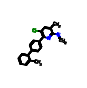 C=Nc1nc(-c2ccc(-c3ccccc3C)cc2)c(Cl)cc1C